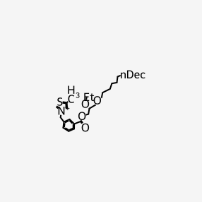 CCCCCCCCCCCCCCCCOCC(COC(=O)c1cccc(C[n+]2csc(C)c2)c1)OCC